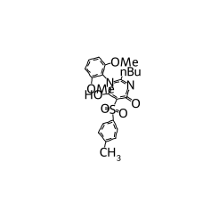 CCCCc1nc(=O)c(S(=O)(=O)c2ccc(C)cc2)c(O)n1-c1c(OC)cccc1OC